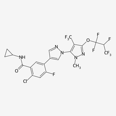 Cn1nc(OC(F)(F)C(F)C(F)(F)F)c(C(F)(F)F)c1-n1cc(-c2cc(C(=O)NC3CC3)c(Cl)cc2F)cn1